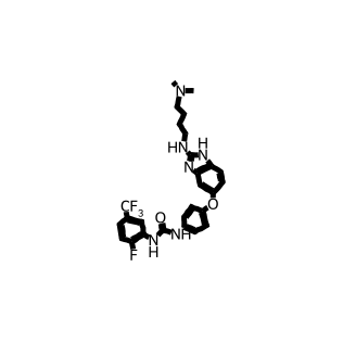 CN(C)CCCCNc1nc2cc(Oc3ccc(NC(=O)Nc4cc(C(F)(F)F)ccc4F)cc3)ccc2[nH]1